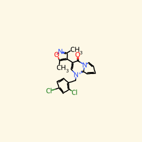 Cc1noc(C)c1-c1c[n+](Cc2ccc(Cl)cc2Cl)c2ccccn2c1=O